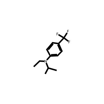 CCN(c1ccc(C(F)(F)F)cc1)C(C)C